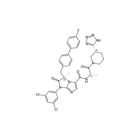 C[C@H](NC(=O)c1cnc2n1[C@](C)(Cc1ccc(-c3ccc(F)cc3)cc1)C(=O)N2c1cc(Cl)cc(Cl)c1)C(=O)N1CCC[C@@H](c2nnn[nH]2)C1